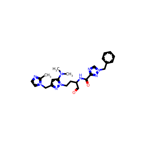 Cc1nccn1Cc1cc(N(C)C)n(CCC(C=O)NC(=O)c2ncn(Cc3ccccc3)n2)n1